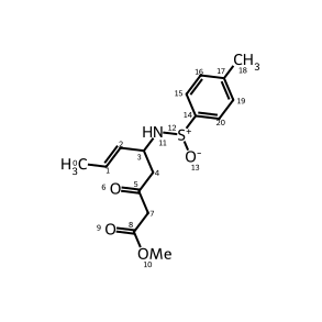 CC=CC(CC(=O)CC(=O)OC)N[S+]([O-])c1ccc(C)cc1